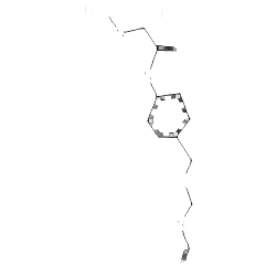 CN[C@H](C)C(=O)Nc1ccc(COCNC=O)cc1